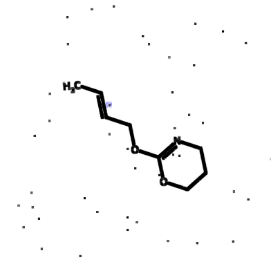 C/C=C/COC1=NCCCO1